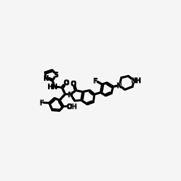 O=C(Nc1nccs1)C(c1cc(F)ccc1O)N1Cc2ccc(-c3ccc(N4CCNCC4)cc3F)cc2C1=O